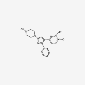 CC(=O)N1CCN(c2cc(-c3ccc(=O)n(C(C)C)n3)n(-c3ccccc3)n2)CC1